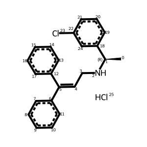 C[C@@H](NCC=C(c1ccccc1)c1ccccc1)c1cccc(Cl)c1.Cl